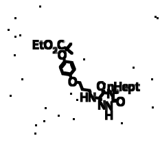 CCCCCCC[N+]1(C)C(=O)NN=C(NCCCOc2ccc(OC(C)(C)C(=O)OCC)cc2)C1=O